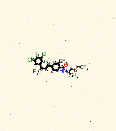 CC(CSCC(F)(F)F)NC(=O)c1ccc(/C(F)=C/C(c2cc(Cl)c(F)c(Cl)c2)C(F)(F)F)cc1C(F)(F)F